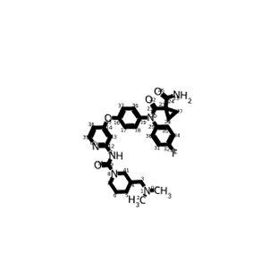 CN(C)CC1CCCN(C(=O)Nc2cc(Oc3ccc(N(C(=O)C4(C(N)=O)CC4)c4ccc(F)cc4)cc3)ccn2)C1